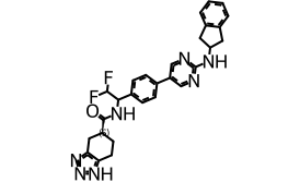 O=C(NC(c1ccc(-c2cnc(NC3Cc4ccccc4C3)nc2)cc1)C(F)F)[C@H]1CCc2[nH]nnc2C1